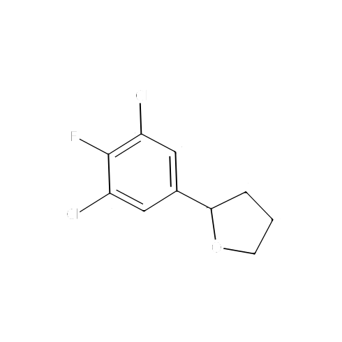 Fc1c(Cl)cc([C]2CCCO2)cc1Cl